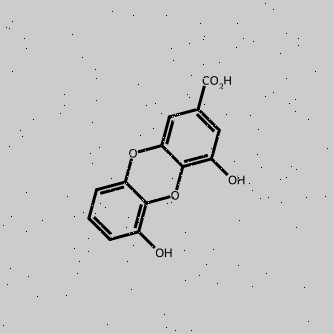 O=C(O)c1cc(O)c2c(c1)Oc1cccc(O)c1O2